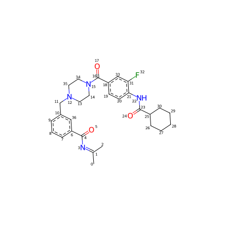 CC(C)=NC(=O)c1cccc(CN2CCN(C(=O)c3ccc(NC(=O)C4CCCCC4)c(F)c3)CC2)c1